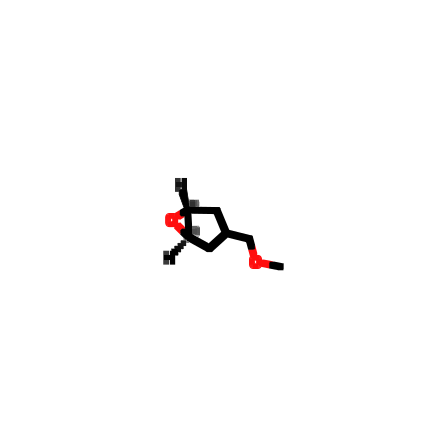 COCC1C[C@H]2O[C@@H]2C1